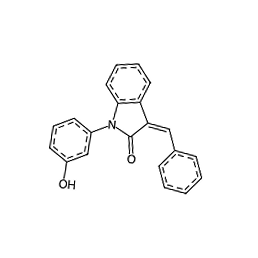 O=C1C(=Cc2ccccc2)c2ccccc2N1c1cccc(O)c1